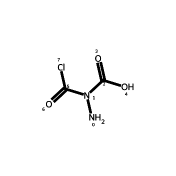 NN(C(=O)O)C(=O)Cl